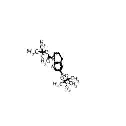 CC(C)(C)OC(=O)N1CCCc2cc(B3OC(C)(C)C(C)(C)O3)cnc21